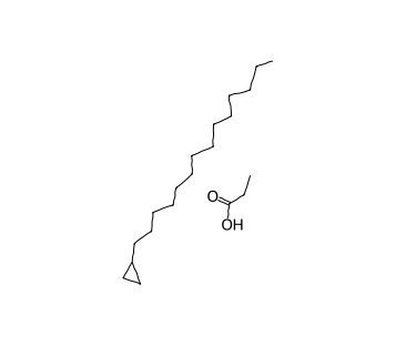 CCC(=O)O.CCCCCCCCCCCCCCC1CC1